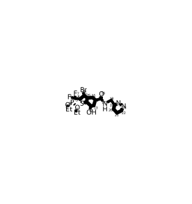 CCOP(OCC)C(F)(F)c1sc2c(O)cc(C(=O)NCc3cccnn3)cc2c1Br